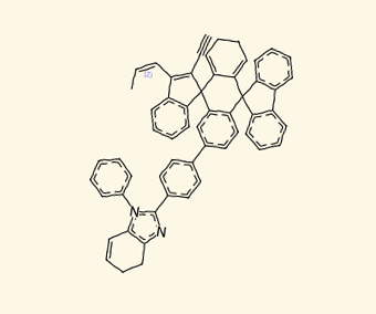 C#CC1=C(/C=C\C)c2ccccc2C12C1=CCCC=C1C1(c3ccccc3-c3ccccc31)c1ccc(-c3ccc(-c4nc5c(n4-c4ccccc4)C=CCC5)cc3)cc12